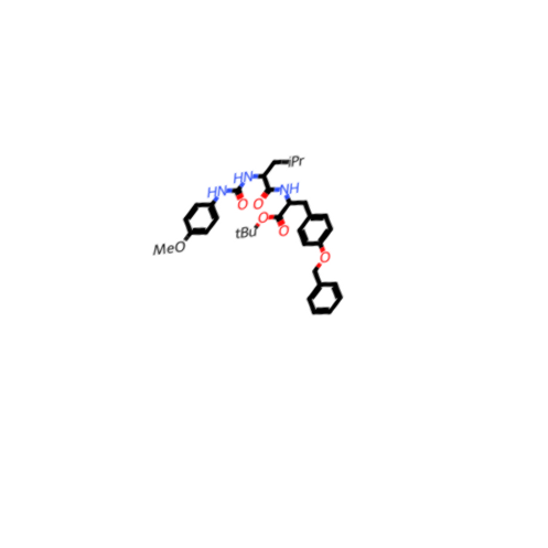 COc1ccc(NC(=O)NC(CC(C)C)C(=O)NC(Cc2ccc(OCc3ccccc3)cc2)C(=O)OC(C)(C)C)cc1